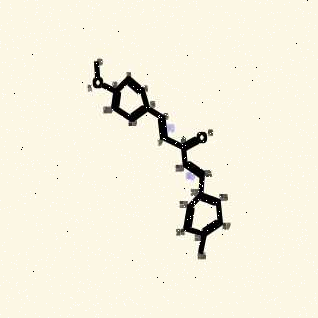 COc1ccc(/C=C/C(=O)/C=C/c2ccc(C)cc2)cc1